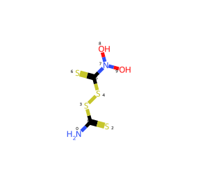 NC(=S)SSC(=S)N(O)O